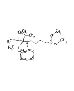 CO[SiH](CCCCN(c1ccccc1)[Si](C(C)C)(C(C)C)C(C)C)OC